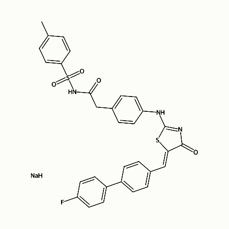 Cc1ccc(S(=O)(=O)NC(=O)Cc2ccc(NC3=NC(=O)C(=Cc4ccc(-c5ccc(F)cc5)cc4)S3)cc2)cc1.[NaH]